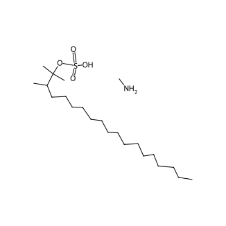 CCCCCCCCCCCCCCCCC(C)C(C)(C)OS(=O)(=O)O.CN